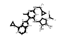 Cc1nc(N[C@H](C)C2CC2)nc(NC2C[C@H](C(F)F)[C@@H](O)[C@H]2O)c1-c1nc2c(C3CC3)nccc2s1